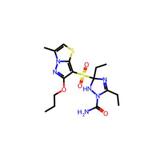 CCCOc1nn2c(C)csc2c1S(=O)(=O)C1(CC)N=C(CC)N(C(N)=O)N1